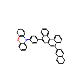 C1=CC2=C(CC1)Oc1ccccc1N2c1ccc(-c2cc3cc(-c4ccc5c(c4)C=CCC5)c4ccccc4c3c3ccccc23)cc1